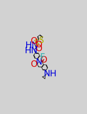 O=C(Nc1ccc(N2C(=O)Cc3cc(NC4CC4)ccc3C2=O)c(F)c1)NS(=O)(=O)c1cccs1